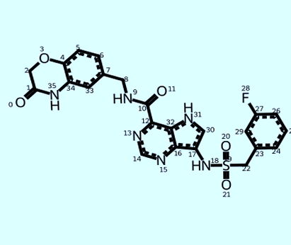 O=C1COc2ccc(CNC(=O)c3ncnc4c(NS(=O)(=O)Cc5cccc(F)c5)c[nH]c34)cc2N1